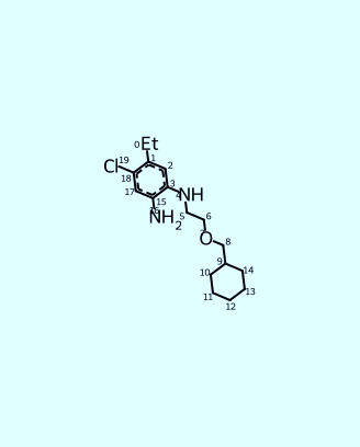 CCc1cc(NCCOCC2CCCCC2)c(N)cc1Cl